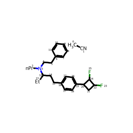 CC#N.CCCN(CCc1ccccc1)C(CC)CCc1ccc(C2CC(F)C2F)cc1